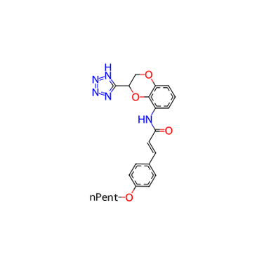 CCCCCOc1ccc(C=CC(=O)Nc2cccc3c2OC(c2nnn[nH]2)CO3)cc1